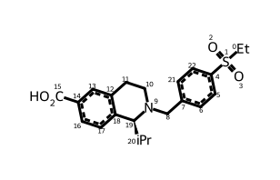 CCS(=O)(=O)c1ccc(CN2CCc3cc(C(=O)O)ccc3[C@@H]2C(C)C)cc1